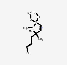 CO[Si](/C=C\C(C)(C)CCCN)(OC)OC